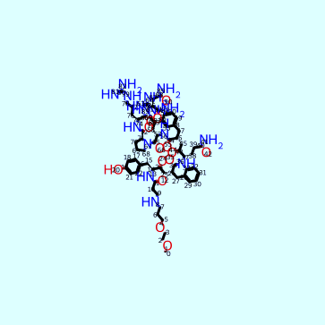 COCCOCCCNCCC(=O)N[C@@H](Cc1ccc(O)cc1)C(=O)C[C@@H](Cc1ccccc1)C(=O)N[C@@H](CCC(N)=O)C(=O)C[C@@H](Cc1ccccc1)C(=O)N[C@@H](CCCNC(=N)N)C(=O)N1CCC[C@H]1C(=O)N[C@@H](CCCNC(=N)N)C(=O)N[C@@H](CC(N)=O)C(N)=O